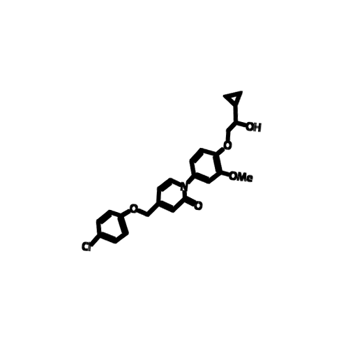 COc1cc(-n2ccc(COc3ccc(Cl)cc3)cc2=O)ccc1OCC(O)C1CC1